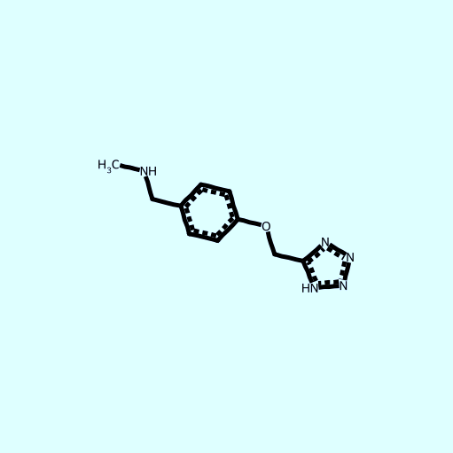 CNCc1ccc(OCc2nnn[nH]2)cc1